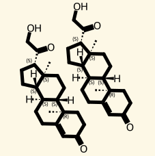 C[C@]12CC[C@H]3[C@@H](CCC4=CC(=O)CC[C@@]43C)[C@@H]1CC[C@@H]2C(=O)CO.C[C@]12CC[C@H]3[C@@H](CCC4=CC(=O)CC[C@@]43C)[C@@H]1CC[C@@H]2C(=O)CO